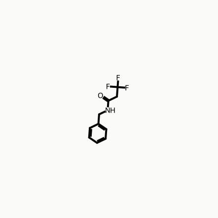 O=C(CC(F)(F)F)NCc1ccccc1